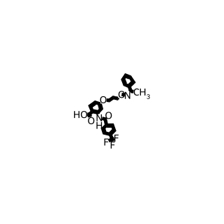 CC(=NOCCCOc1ccc(C(=O)O)c(NC(=O)c2ccc(C(F)(F)F)cc2)c1)c1ccccc1